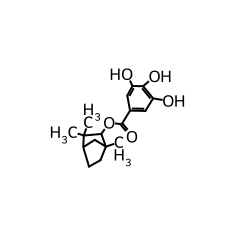 CC12CCC(C1)C(C)(C)C2OC(=O)c1cc(O)c(O)c(O)c1